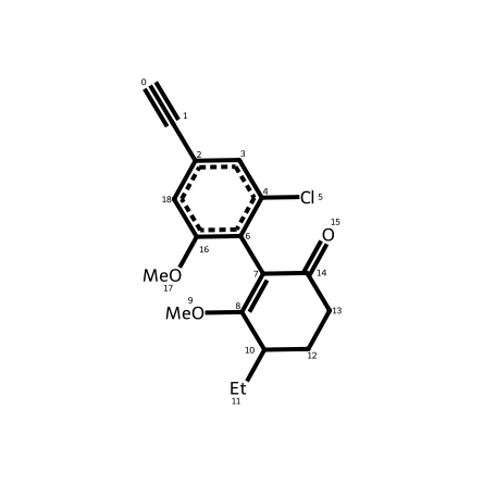 C#Cc1cc(Cl)c(C2=C(OC)C(CC)CCC2=O)c(OC)c1